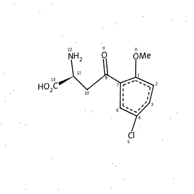 COc1ccc(Cl)cc1C(=O)C[C@H](N)C(=O)O